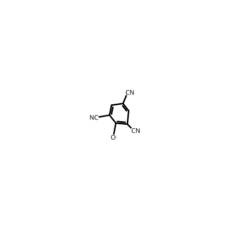 N#Cc1cc(C#N)c([O])c(C#N)c1